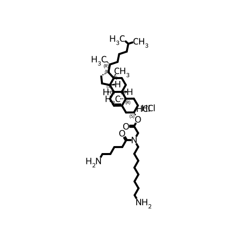 CC(C)CCC[C@@H](C)[C@H]1CC[C@H]2[C@@H]3CC=C4C[C@@H](OC(=O)CN(CCCCCCCCN)C(=O)CCCCN)CC[C@]4(C)[C@H]3CC[C@]12C.Cl.Cl